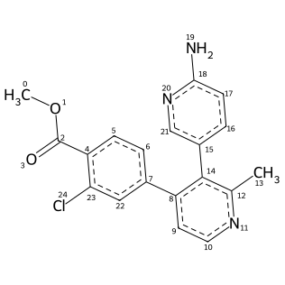 COC(=O)c1ccc(-c2ccnc(C)c2-c2ccc(N)nc2)cc1Cl